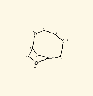 C1CSCC2CC(CO2)O1